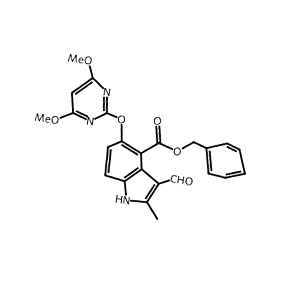 COc1cc(OC)nc(Oc2ccc3[nH]c(C)c(C=O)c3c2C(=O)OCc2ccccc2)n1